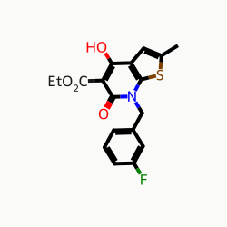 CCOC(=O)c1c(O)c2cc(C)sc2n(Cc2cccc(F)c2)c1=O